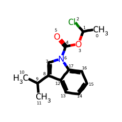 CC(Cl)OC(=O)n1cc(C(C)C)c2ccccc21